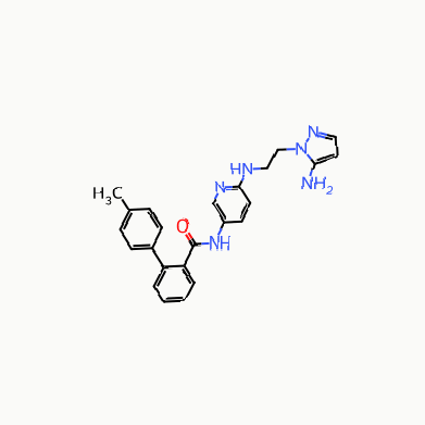 Cc1ccc(-c2ccccc2C(=O)Nc2ccc(NCCn3nccc3N)nc2)cc1